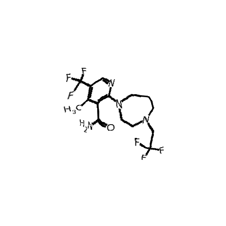 Cc1c(C(F)(F)F)cnc(N2CCCN(CC(F)(F)F)CC2)c1C(N)=O